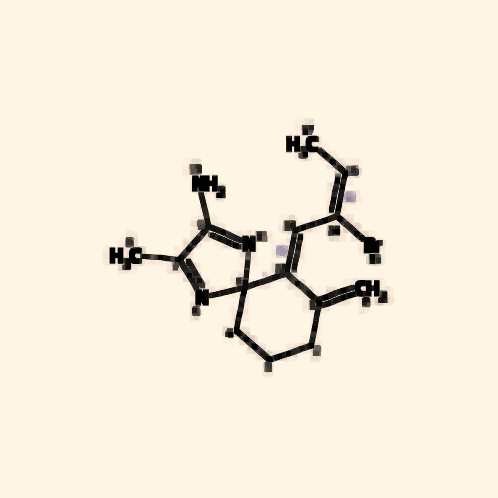 C=C1CCCC2(N=C(C)C(N)=N2)/C1=C/C(Br)=C\C